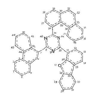 c1ccc2c(c1)cc(-c1nc(-c3cccc4c3oc3ccccc34)nc(-c3cccc4ccc5ccccc5c34)n1)c1ccccc12